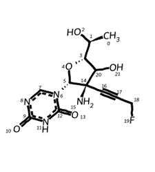 C[C@H](O)[C@H]1O[C@@H](n2cnc(=O)[nH]c2=O)[C@@](N)(C#CCF)C1O